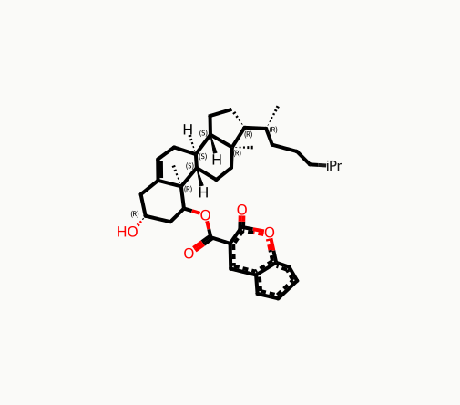 CC(C)CCC[C@@H](C)[C@H]1CC[C@H]2[C@@H]3CC=C4C[C@@H](O)CC(OC(=O)c5cc6ccccc6oc5=O)[C@]4(C)[C@H]3CC[C@]12C